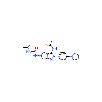 CC(=O)Nc1c2c(nn1-c1ccc(N3CCCC3)cc1)CN(NC(=O)NC(C)C)C2